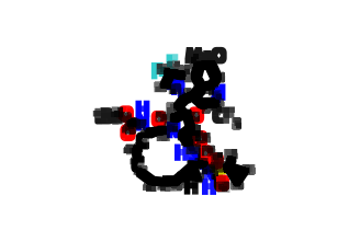 COc1ccc2nc(C(F)(F)F)c3c(c2c1)[C@H](N1CC(F)(F)C1)C[C@]1(C[C@H]2C(=O)N[C@]4(C(=O)NS(=O)(=O)C5(C)CC5)C[C@H]4/C=C\CCCCC[C@H](NC(=O)OC(C)(C)C)C(=O)N2C1)O3